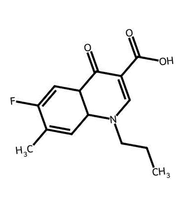 CCCN1C=C(C(=O)O)C(=O)C2C=C(F)C(C)=CC21